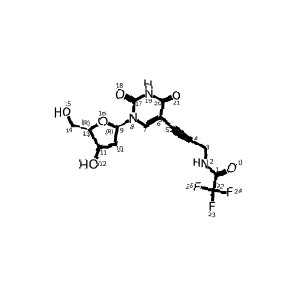 O=C(NCC#Cc1cn([C@H]2CC(O)[C@@H](CO)O2)c(=O)[nH]c1=O)C(F)(F)F